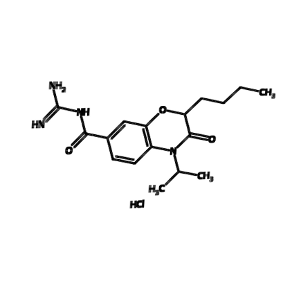 CCCCC1Oc2cc(C(=O)NC(=N)N)ccc2N(C(C)C)C1=O.Cl